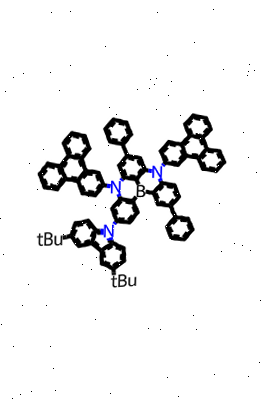 CC(C)(C)c1ccc2c(c1)c1cc(C(C)(C)C)ccc1n2-c1ccc2c(c1)N(c1ccc3c4ccccc4c4ccccc4c3c1)c1cc(-c3ccccc3)cc3c1B2c1cc(-c2ccccc2)ccc1N3c1ccc2c3ccccc3c3ccccc3c2c1